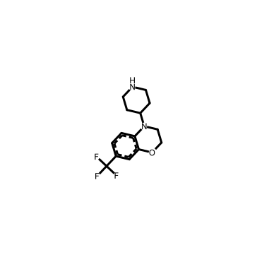 FC(F)(F)c1ccc2c(c1)OCCN2C1CCNCC1